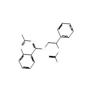 CC(=O)NC(CNc1nc(Cl)nc2ccccc12)c1ccccc1